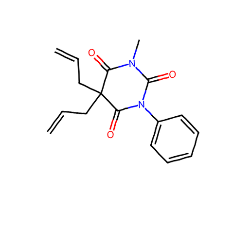 C=CCC1(CC=C)C(=O)N(C)C(=O)N(c2ccccc2)C1=O